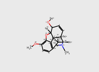 [2H]OC1C=C[C@@]2([2H])[C@@H]3N(C)CC[C@@]24c2c(ccc(OC)c2OC14[2H])C3([2H])[2H]